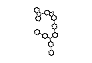 c1ccc(-c2ccc(N(c3ccc(-c4ccccc4)cc3)c3cccc(-c4ccc(-c5ccc6oc7ccc(-n8c9ccccc9c9ccccc98)cc7c6c5)cc4)c3)cc2)cc1